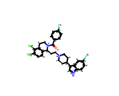 O=C(c1ccc(F)cc1)N1CCc2c(ccc(Cl)c2Cl)C1CCN1CCC(c2c[nH]c3ccc(F)cc23)CC1